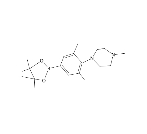 Cc1cc(B2OC(C)(C)C(C)(C)O2)cc(C)c1N1CCN(C)CC1